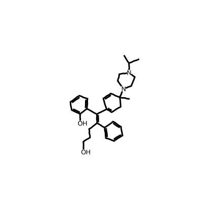 CC(C)N1CCN(C2(C)C=CC(/C(=C(/CCCO)c3ccccc3)c3ccccc3O)=CC2)CC1